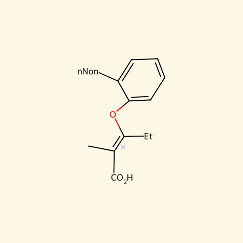 CCCCCCCCCc1ccccc1O/C(CC)=C(\C)C(=O)O